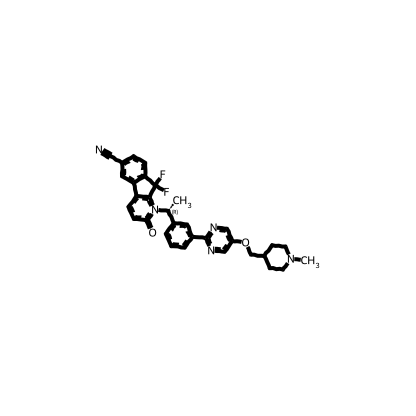 C[C@H](c1cccc(-c2ncc(OCC3CCN(C)CC3)cn2)c1)n1c2c(ccc1=O)-c1cc(C#N)ccc1C2(F)F